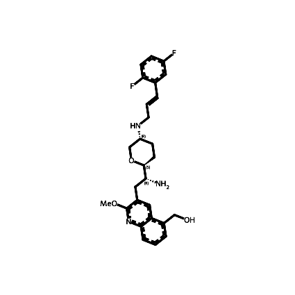 COc1nc2cccc(CO)c2cc1C[C@@H](N)[C@@H]1CC[C@@H](NCC=Cc2cc(F)ccc2F)CO1